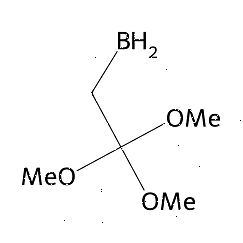 BCC(OC)(OC)OC